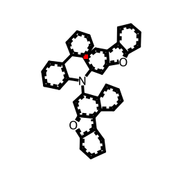 c1ccc(-c2ccccc2N(c2ccc3c(c2)oc2ccccc23)c2cc3oc4ccccc4c3c3ccccc23)cc1